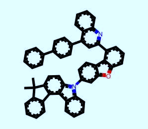 CC1(C)c2ccccc2-c2c1ccc1c2c2ccccc2n1-c1ccc2c(c1)oc1cccc(-c3cc(-c4ccc(-c5ccccc5)cc4)c4ccccc4n3)c12